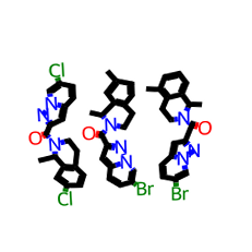 CC1c2cc(Cl)ccc2CCN1C(=O)c1cc2ccc(Cl)cn2n1.Cc1ccc2c(c1)C(C)N(C(=O)c1cc3ccc(Br)cn3n1)CC2.Cc1cccc2c1CCN(C(=O)c1cc3ccc(Br)cn3n1)C2C